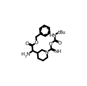 CC(C)(C)NC(=O)OC(=N)N1CCCC(C(N)C(=O)OCc2ccccc2)C1